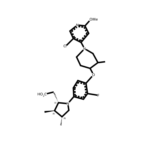 COc1cc(N2CCC(Oc3ccc(N4C[C@H](C)[C@@H](C)[C@@H]4CC(=O)O)cc3F)C(C)C2)c(Cl)cn1